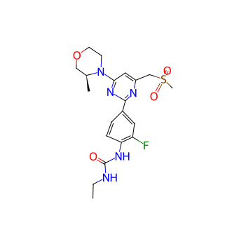 CCNC(=O)Nc1ccc(-c2nc(CS(C)(=O)=O)cc(N3CCOC[C@@H]3C)n2)cc1F